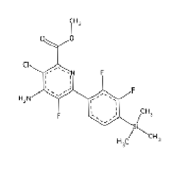 COC(=O)c1nc(-c2ccc([Si](C)(C)C)c(F)c2F)c(F)c(N)c1Cl